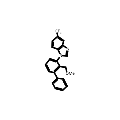 COCc1c(-c2ccccc2)cccc1-n1cnc2cc(C(F)(F)F)ccc21